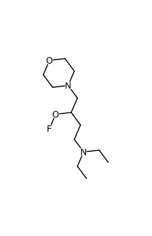 CCN(CC)CCC(CN1CCOCC1)OF